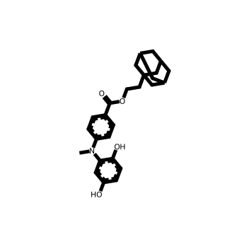 CN(c1ccc(C(=O)OCCC23CC4CC(CC(C4)C2)C3)cc1)c1cc(O)ccc1O